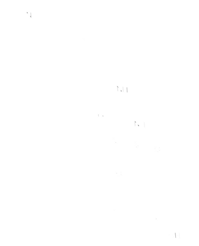 CC1(O)CCCc2oc(S(=O)(=O)NC(=O)Nc3c4c(c(C#N)c5c3CCC5)CCC4)cc21